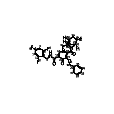 O=C(NCc1c(F)cc(F)cc1F)c1cn2c(c(OCc3ccccc3)c1=O)C(=O)N1[C@H](C2)[C@@H]2C[C@@H](F)[C@H]1C2